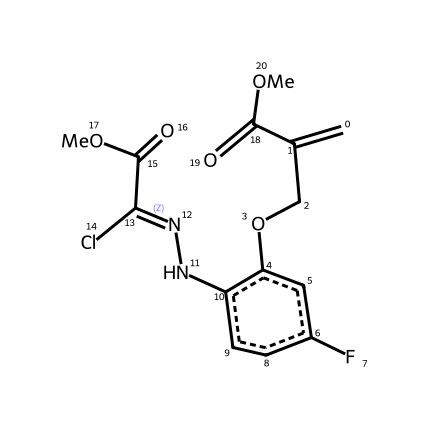 C=C(COc1cc(F)ccc1N/N=C(\Cl)C(=O)OC)C(=O)OC